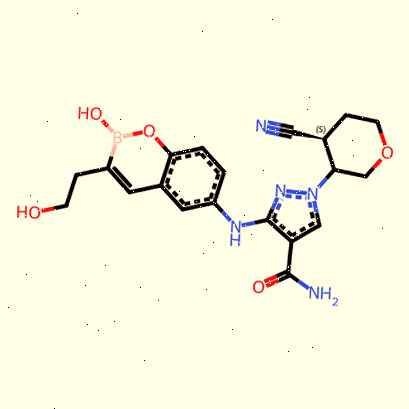 N#C[C@H]1CCOCC1n1cc(C(N)=O)c(Nc2ccc3c(c2)C=C(CCO)B(O)O3)n1